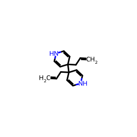 C=CCC1(C2(CC=C)C=CNC=C2)C=CNC=C1